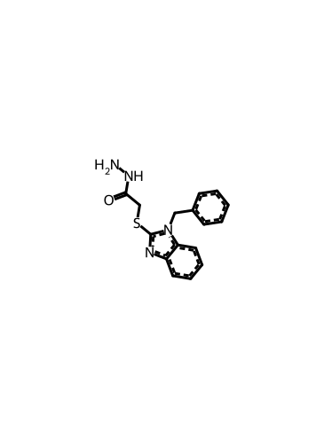 NNC(=O)CSc1nc2ccccc2n1Cc1ccccc1